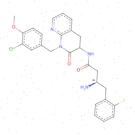 COc1ccc(CN2C(=O)C(NC(=O)C[C@H](N)Cc3ccccc3F)Cc3cccnc32)cc1Cl